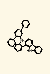 C1=CCCC(c2ccc(-c3ccccc3)cc2-n2c3ccccc3c3c4[nH]c5ccccc5c4ccc32)=C1